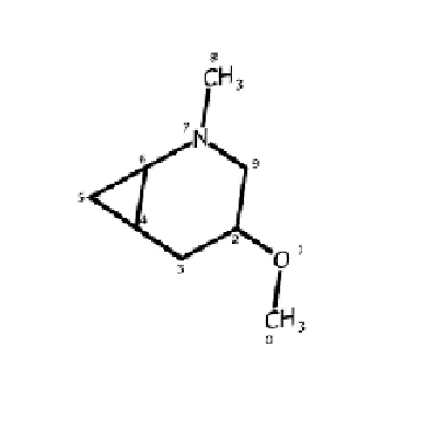 COC1CC2CC2N(C)C1